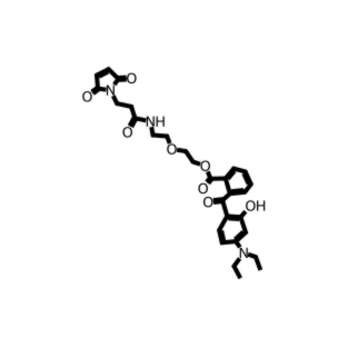 CCN(CC)c1ccc(C(=O)c2ccccc2C(=O)OCCOCCNC(=O)CCN2C(=O)C=CC2=O)c(O)c1